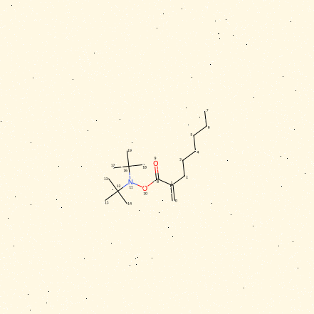 C=C(CCCCCC)C(=O)ON(C(C)(C)C)C(C)(C)C